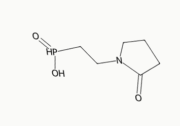 O=C1CCCN1CC[PH](=O)O